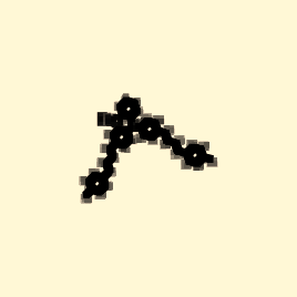 CCOc1ccccc1N(c1ccc(/C=C/C=C/c2ccc(C)cc2)cc1)c1ccc(/C=C/C=C/c2ccc(C)cc2)cc1